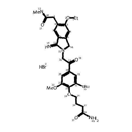 Br.CCOc1cc2c(cc1CC(=O)NC)C(=N)N(CC(=O)c1cc(OC)c(OCCCC(N)=O)c(C(C)(C)C)c1)C2